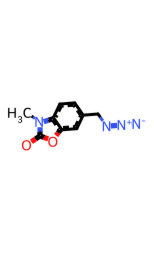 Cn1c(=O)oc2cc(CN=[N+]=[N-])ccc21